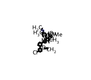 C=C/C=C/C1(C)CCN(c2c(C(OC(C)(C)C)C(=O)OC)c(C)nc3cc(-c4cccc(-c5cc(Cl)ccc5OCC=C)c4)nn23)CC1